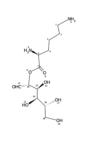 NCCCC[C@H](N)C(=O)O[C@@H](C=O)[C@@H](O)[C@H](O)[C@H](O)CO